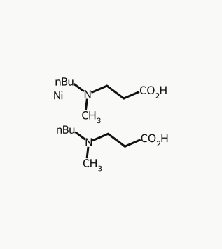 CCCCN(C)CCC(=O)O.CCCCN(C)CCC(=O)O.[Ni]